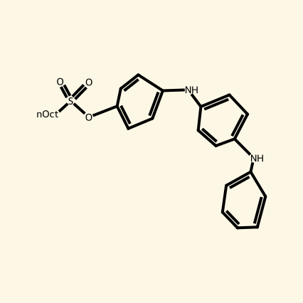 CCCCCCCCS(=O)(=O)Oc1ccc(Nc2ccc(Nc3ccccc3)cc2)cc1